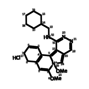 COC1=CC2=C(C=CCC2)C2=c3c(NCC4CCCCC4)nncc3=C[N+]12OC.Cl